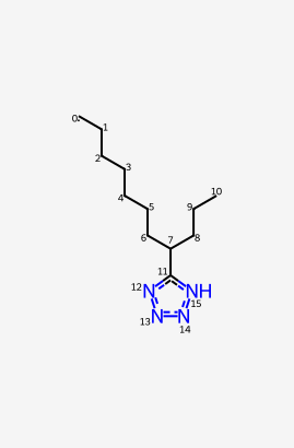 [CH2]CCCCCCC(CCC)c1nnn[nH]1